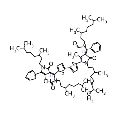 CC1=C(c2ccc(-c3ccc(/C(=C4\C(=O)N(CCC(C)CCCC(C)C)C(c5ccccc5)=C4C)N(C=O)CCC(C)CCCC(C)C)s3)s2)N(CCC(C)CCCC(C)C)C(=O)/C1=C(\c1ccccc1)N(C=O)CCC(C)CCCC(C)C